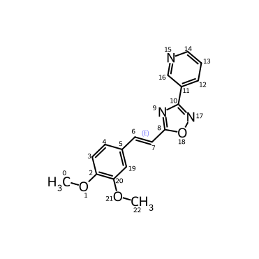 COc1ccc(/C=C/c2nc(-c3cccnc3)no2)cc1OC